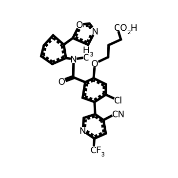 CN(C(=O)c1cc(-c2cnc(C(F)(F)F)cc2C#N)c(Cl)cc1OCCCC(=O)O)c1ccccc1-c1cnco1